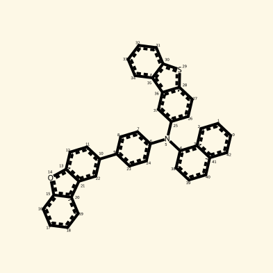 c1ccc2c(N(c3ccc(-c4ccc5oc6ccccc6c5c4)cc3)c3ccc4sc5ccccc5c4c3)cccc2c1